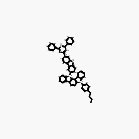 CCCCc1ccc(-n2c3ccccc3c3c2ccc2c4ccccc4n(-c4ccc5oc6cc(-c7nc(-c8ccccc8)nc(-c8ccccc8)n7)ccc6c5c4)c23)cc1